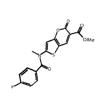 COC(=O)c1cc2sc(N(C)C(=O)c3ccc(F)cc3)cc2oc1=O